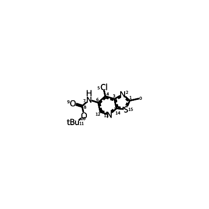 Cc1nc2c(Cl)c(NC(=O)OC(C)(C)C)cnc2s1